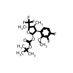 COc1c([C@H]2[C@H](OC(=O)OC(C)(C)C)O[C@@](C)(C(F)(F)F)[C@H]2C)ccc(F)c1F